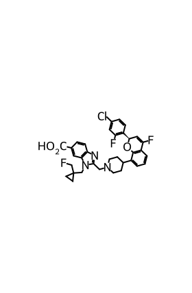 O=C(O)c1ccc2nc(CN3CCC(c4cccc5c4O[C@@H](c4ccc(Cl)cc4F)C=C5F)CC3)n(CC3(CF)CC3)c2c1